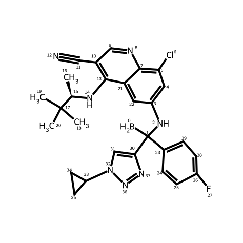 BC(Nc1cc(Cl)c2ncc(C#N)c(N[C@H](C)C(C)(C)C)c2c1)(c1ccc(F)cc1)c1cn(C2CC2)nn1